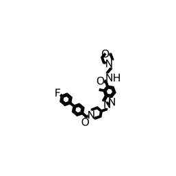 Cc1c(C(=O)NCCN2CCOCC2)ccc2nn(CC3CCN(C(=O)c4ccc(-c5ccc(F)cc5)cc4)CC3)cc12